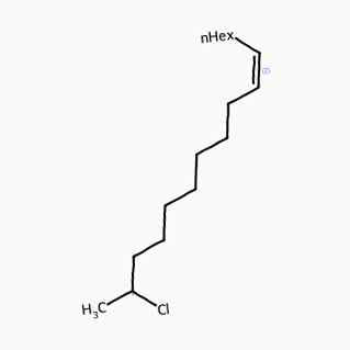 CCCCCC/C=C\CCCCCCC[C](C)Cl